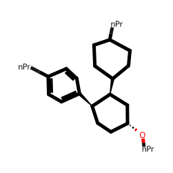 CCCO[C@@H]1CC[C@@H](c2ccc(CCC)cc2)[C@@H](C2CCC(CCC)CC2)C1